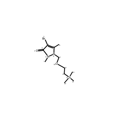 Cc1c(Br)c(=O)n(C)n1COCC[Si](C)(C)C